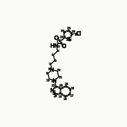 O=S(=O)(NCCCCN1CCN(c2nsc3ccccc23)CC1)c1ccc(Cl)s1